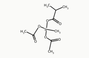 CC(=O)O[Si](C)(OC(C)=O)OC(=O)C(C)C